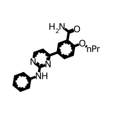 CCCOc1ccc(-c2ccnc(Nc3ccccc3)n2)cc1C(N)=O